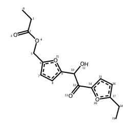 CCC(=O)OCc1ccc(C(O)C(=O)c2ccc(CC)o2)o1